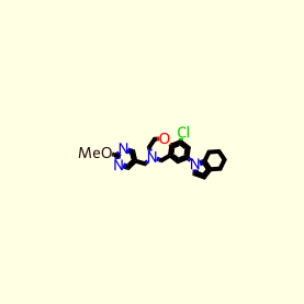 COc1ncc(CN2CCOc3c(Cl)cc(-n4ccc5c4CCCC5)cc3C2)cn1